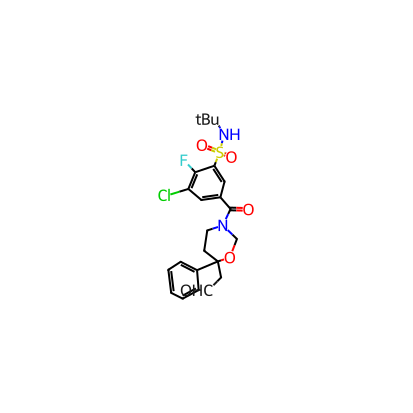 CC(C)(C)NS(=O)(=O)c1cc(C(=O)N2CCC(CC=O)(c3ccccc3)OC2)cc(Cl)c1F